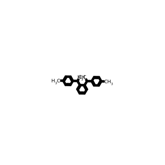 Cc1ccc(C(C)c2ccccc2C(C)c2ccc(C)cc2)cc1